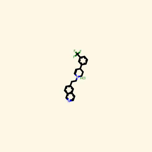 Cl.FC(F)(F)c1cccc(C2C=CN(CCc3ccc4cnccc4c3)CC2)c1